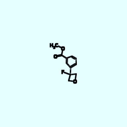 COC(=O)c1cccc(C2(F)COC2)c1